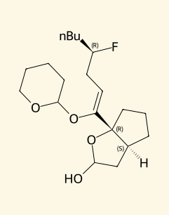 CCCC[C@@H](F)CC=C(OC1CCCCO1)[C@@]12CCC[C@H]1CC(O)O2